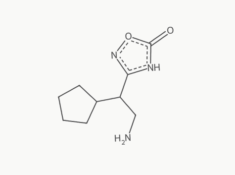 NCC(c1noc(=O)[nH]1)C1CCCC1